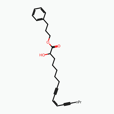 CCCC#C/C=C\C#CCCCCCC(O)C(=O)OCCCc1ccccc1